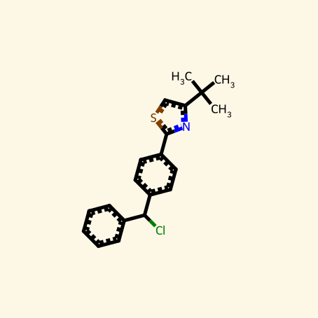 CC(C)(C)c1csc(-c2ccc(C(Cl)c3ccccc3)cc2)n1